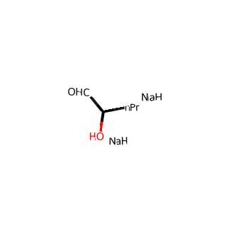 CCCC(O)C=O.[NaH].[NaH]